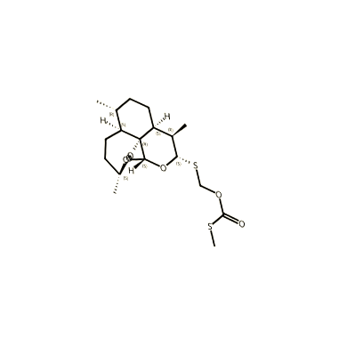 CSC(=O)OCS[C@@H]1O[C@@H]2O[C@]3(C)CC[C@H]4[C@H](C)CC[C@@H]([C@H]1C)[C@@]24OO3